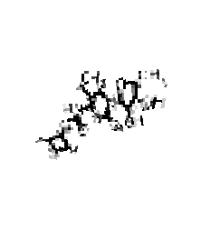 C=Cc1cn([C@@H]2O[C@H](C)[C@@H](O)[C@H]2O)c(=O)nc1NC(=O)OC1CCC1